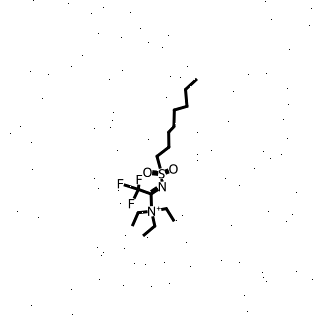 CCCCCCCCS(=O)(=O)N=C(C(F)(F)F)[N+](CC)(CC)CC